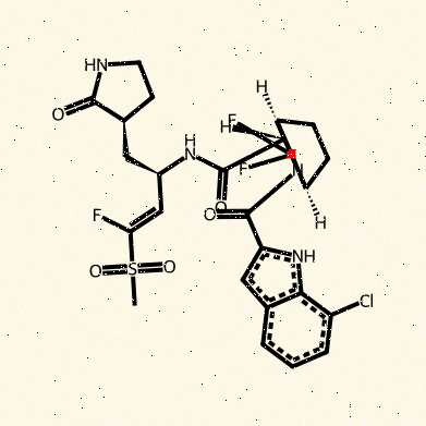 CS(=O)(=O)/C(F)=C/[C@@H](C[C@@H]1CCNC1=O)NC(=O)[C@@H]1[C@H]2CC[C@H](CC2(F)F)N1C(=O)c1cc2cccc(Cl)c2[nH]1